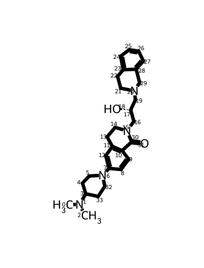 CN(C)C1CCN(c2ccc3c(c2)CCN(C[C@H](O)CN2CCc4ccccc4C2)C3=O)CC1